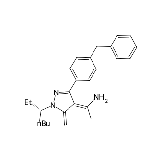 C=c1/c(=C(\C)N)c(-c2ccc(Cc3ccccc3)cc2)nn1[C@@H](CC)CCCC